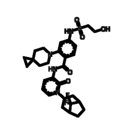 O=C(Nc1cccn(C2CC3CCC(C2)C3(F)F)c1=O)c1ccc(NS(=O)(=O)CCO)cc1N1CCC2(CC1)CC2